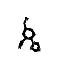 N#Cc1cc(CBr)ccc1-n1cncn1